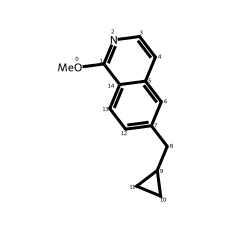 COc1nccc2cc(CC3CC3)ccc12